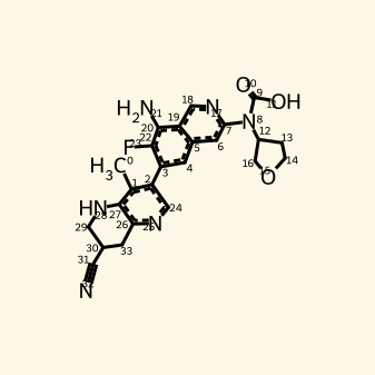 Cc1c(-c2cc3cc(N(C(=O)O)C4CCOC4)ncc3c(N)c2F)cnc2c1NCC(C#N)C2